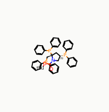 CC(C)(C)OC(=O)N1C[C@@H](P(c2ccccc2)c2ccccc2)C[C@@]1(CP(c1ccccc1)c1ccccc1)P(c1ccccc1)c1ccccc1